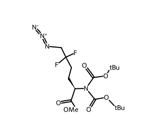 COC(=O)[C@@H](CCC(F)(F)CN=[N+]=[N-])N(C(=O)OC(C)(C)C)C(=O)OC(C)(C)C